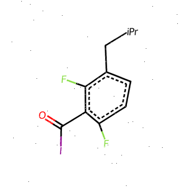 CC(C)Cc1ccc(F)c(C(=O)I)c1F